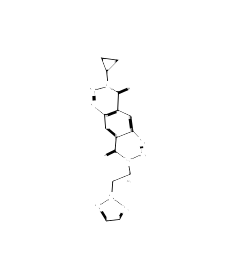 C[C@H](Cn1nccn1)n1nnc2cc3c(=O)n(C4CC4)nnc3cc2c1=O